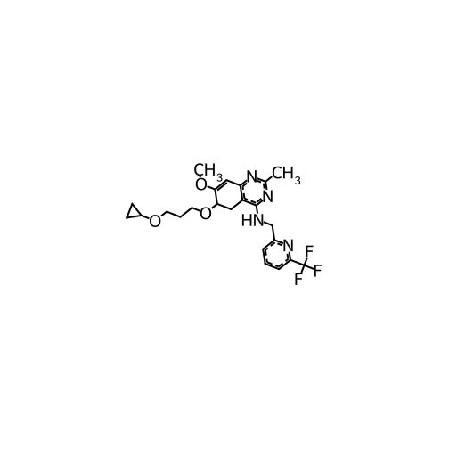 COC1=Cc2nc(C)nc(NCc3cccc(C(F)(F)F)n3)c2CC1OCCCOC1CC1